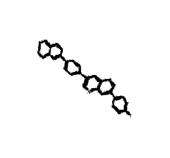 Fc1ccc(-c2ccc3cc(-c4ccc(-c5ccc6ccccc6c5)cc4)cnc3c2)cc1